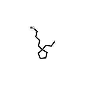 OCCCCC1(CCI)CCCC1